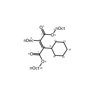 CCCCCCCCCCC(C(=O)OCCCCCCCC)=C(C(=O)OCCCCCCCC)C1CCCCC1